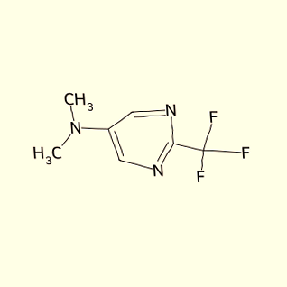 CN(C)c1cnc(C(F)(F)F)nc1